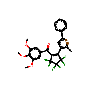 COc1cc(C(=O)C2=C(c3cc(-c4ccccc4)sc3C)C(F)(F)C(F)(F)C2(F)F)cc(OC)c1OC